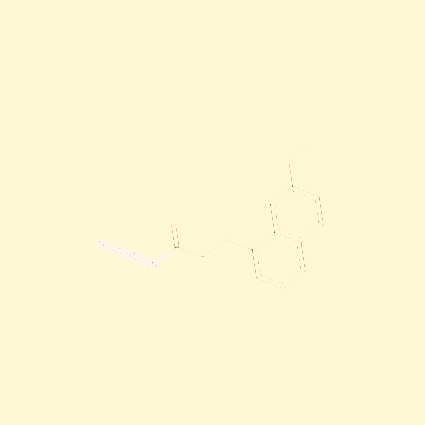 COc1ccc2cccc(CCC(=O)N=[N+]=[N-])c2c1